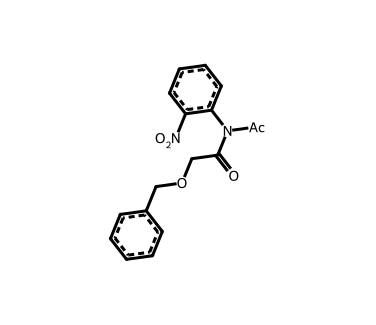 CC(=O)N(C(=O)COCc1ccccc1)c1ccccc1[N+](=O)[O-]